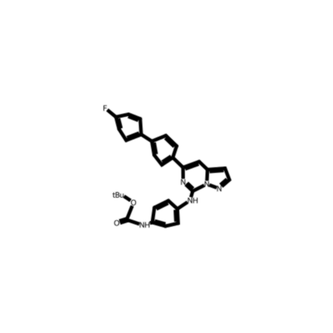 CC(C)(C)OC(=O)Nc1ccc(Nc2nc(-c3ccc(-c4ccc(F)cc4)cc3)cc3ccnn23)cc1